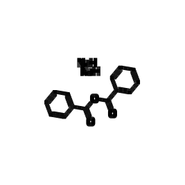 O=C(OC(=O)c1ccccc1)c1ccccc1.[NaH].[NaH]